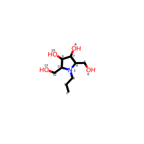 CCCN1C(CO)C(O)C(O)C1CO